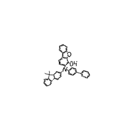 CC1(C)c2ccccc2-c2ccc(N(c3ccc(-c4ccccc4)cc3)c3ccc4c(oc5ccccc54)c3O)cc21